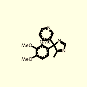 COc1ccc(C2(c3cccnc3)N=CN=C2C)c(OC)c1OC